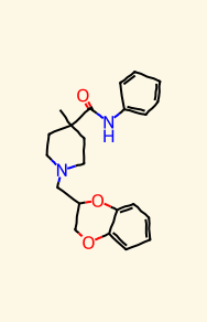 CC1(C(=O)Nc2ccccc2)CCN(CC2COc3ccccc3O2)CC1